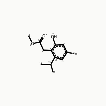 COC(=O)Cc1c(O)cc(F)cc1C(C)C